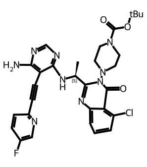 C[C@H](Nc1ncnc(N)c1C#Cc1ccc(F)cn1)c1nc2cccc(Cl)c2c(=O)n1N1CCN(C(=O)OC(C)(C)C)CC1